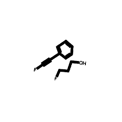 FC#Cc1ccccc1.OCCCF